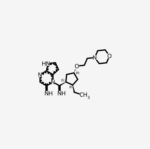 CC[C@@H]1C[C@@H](OCCN2CCOCC2)C[C@@H]1C(=N)n1c(=N)cnc2[nH]ccc21